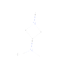 CN1CC(N(C)C(C)(C)C)C1